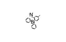 Cc1cc[c]([Bi]([c]2ccccc2)[c]2ccccc2)c(CN(C)C)c1